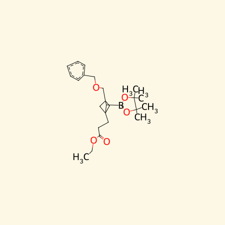 CCOC(=O)CCC12CC(COCc3ccccc3)(C1)C2B1OC(C)(C)C(C)(C)O1